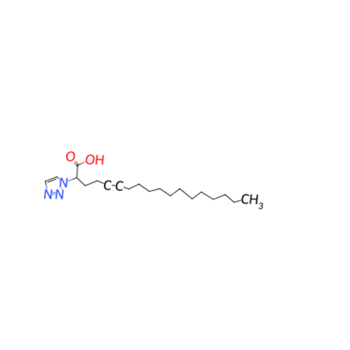 CCCCCCCCCCCCCCCCC(C(=O)O)n1ccnn1